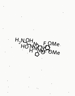 COc1cc(OC)c(F)c(N2Cc3cnc(NCC(O)C(O)CN)nc3N(C3CCCC3)C2=O)c1F